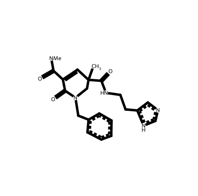 CNC(=O)C1=CC(C)(C(=O)NCCc2cnc[nH]2)CN(Cc2ccccc2)C1=O